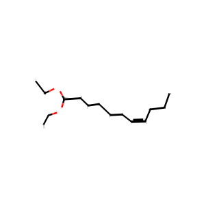 CCC/C=C\CCCCCC(OCC)OCC